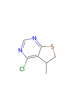 CC1CSc2ncnc(Cl)c21